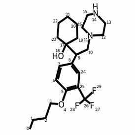 CCCCOc1ccc(C(CN2CCNCC2)C2(O)CCCCC2)cc1C(F)(F)F